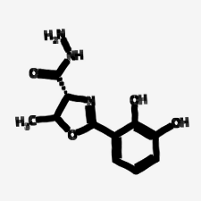 CC1OC(c2cccc(O)c2O)=N[C@H]1C(=O)NN